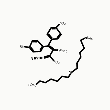 CCCCCC(C(=C=[N+]=[N-])CCCC)=C(c1ccc(CC)cc1)c1ccc(CCCC)cc1.CCCCCCCCCCCCCCC[CH2][Ni][CH2]CCCCCCCCCCCCCCC